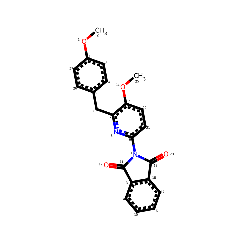 COc1ccc(Cc2nc(N3C(=O)c4ccccc4C3=O)ccc2OC)cc1